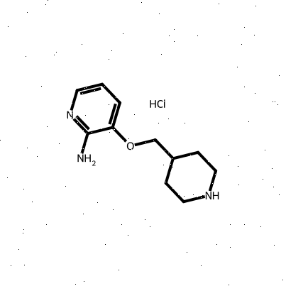 Cl.Nc1ncccc1OCC1CCNCC1